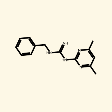 Cc1cc(C)nc(NC(=N)NCc2ccccc2)n1